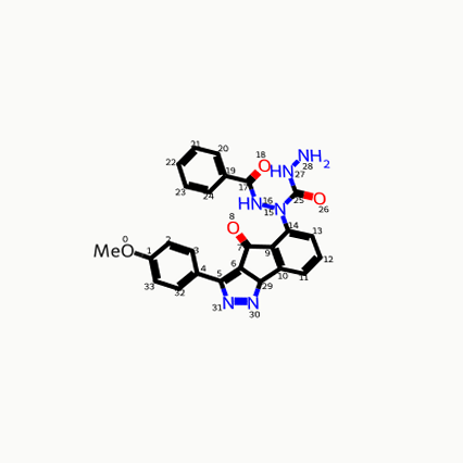 COc1ccc(C2=C3C(=O)c4c(cccc4N(NC(=O)c4ccccc4)C(=O)NN)C3N=N2)cc1